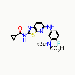 CC(C)(C)N(C(=O)O)c1cc(Nc2ccc3nc(NC(=O)C4CC4)sc3n2)ccc1F